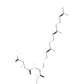 CC(C)=CCC/C(C)=C/CC/C(C)=C/CSC[C@H](NC(=O)[C@H](C)CC(=O)O)C(=O)NN